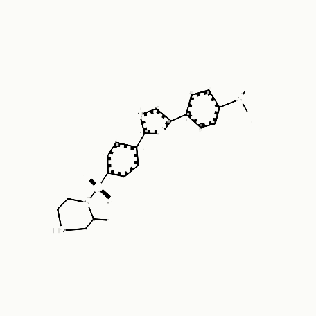 CC1CNCCN1S(=O)(=O)c1ccc(-c2ncc(-c3ccc(N(C)C)cc3)o2)cc1